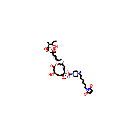 CCC(O)C(C)[C@@H]1O[C@H]1CC(C)(O)/C=C/C=C(\C)[C@H]1OC(=O)C[C@H](O)CC[C@@](C)(OC)[C@@H](OC(=O)N2CC[N+](C)(CCCCCCN3C(=O)C=CC3=O)CC2)/C=C/[C@@H]1C